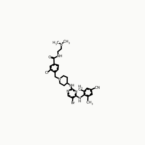 Cc1cc(C#N)cc(C)c1Nc1nc(NC2CCN(Cc3ccc(C(=O)NCCN(C)C)cc3Cl)CC2)ncc1Br